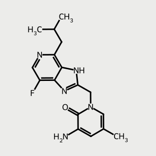 Cc1cc(N)c(=O)n(Cc2nc3c(F)cnc(CC(C)C)c3[nH]2)c1